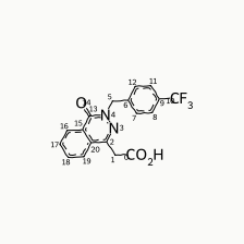 O=C(O)Cc1nn(Cc2ccc(C(F)(F)F)cc2)c(=O)c2ccccc12